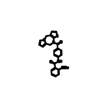 CSc1ccccc1C(=O)Nc1ccc(C(=O)N2Cc3cccn3Cc3ccsc32)cc1